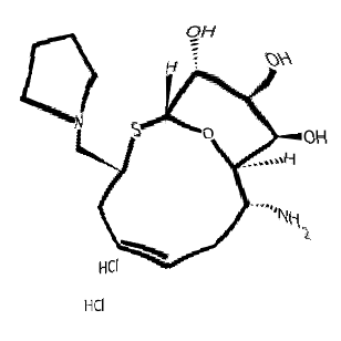 Cl.Cl.N[C@@H]1CC=CC[C@@H](CN2CCCC2)S[C@H]2O[C@H]1[C@H](O)[C@H](O)[C@H]2O